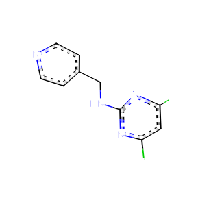 Clc1cc(Cl)nc(NCc2ccncc2)n1